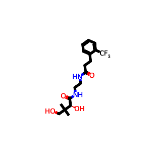 CC(C)(CO)[C@@H](O)C(=O)NCCNC(=O)CCc1ccccc1C(F)(F)F